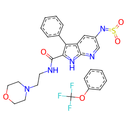 FC(F)(F)Oc1ccccc1.O=C(NCCN1CCOCC1)c1[nH]c2ncc(N=S(=O)=O)cc2c1-c1ccccc1